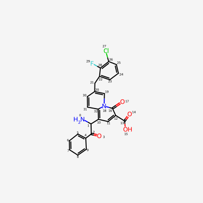 NC(C(=O)c1ccccc1)c1cc(C(=O)O)c(=O)n2cc(Cc3cccc(Cl)c3F)ccc12